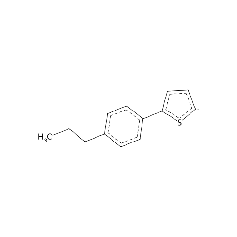 CCCc1ccc(-c2cc[c]s2)cc1